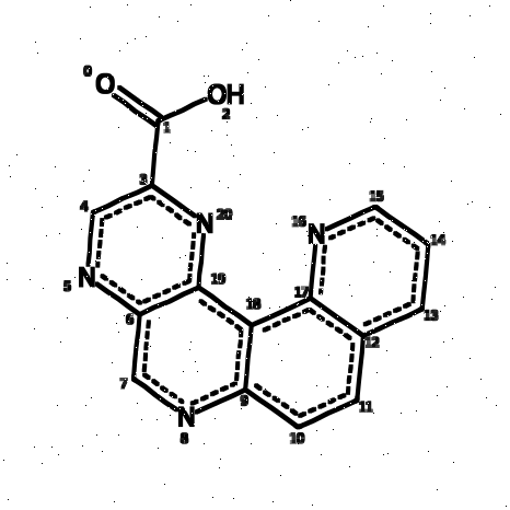 O=C(O)c1cnc2cnc3ccc4cccnc4c3c2n1